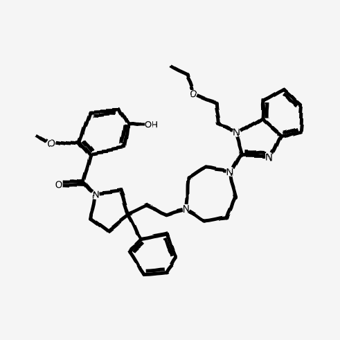 CCOCCn1c(N2CCCN(CCC3(c4ccccc4)CCN(C(=O)c4cc(O)ccc4OC)C3)CC2)nc2ccccc21